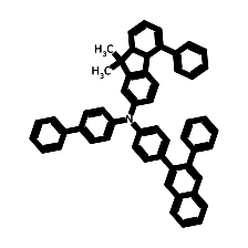 CC1(C)c2cc(N(c3ccc(-c4ccccc4)cc3)c3ccc(-c4cc5ccccc5cc4-c4ccccc4)cc3)ccc2C2C(c3ccccc3)=CC=CC21